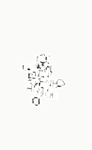 COC(=O)NCC(C)(C)CC(=O)NN(Cc1ccccc1)CC(O)C(Cc1ccccc1)NC(=O)C(N1CCN(Cc2cnccc2C)C1=O)C(C)(C)C